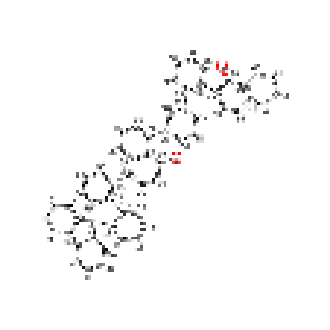 c1ccc(C2(c3ccccc3)c3ccccc3-c3c(-c4ccc5c6c(cccc46)-c4cc(-c6cccc7oc8c9ccccc9ccc8c67)ccc4O5)cccc32)cc1